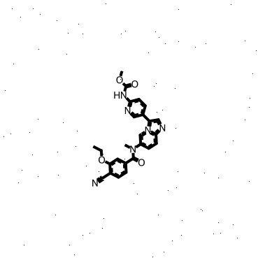 CCOc1cc(C(=O)N(C)c2ccc3ncc(-c4ccc(NC(=O)OC)nc4)n3c2)ccc1C#N